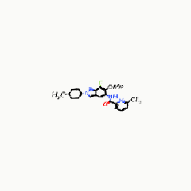 COc1c(NC(=O)c2cccc(C(F)(F)F)n2)cc2cn([C@H]3CC[C@H](C)CC3)nc2c1F